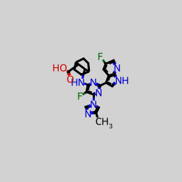 Cc1cn(-c2nc(-c3c[nH]c4ncc(F)cc34)nc(NC3C4CCC(CC4)C3C(=O)O)c2F)cn1